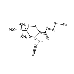 CC(C)(C)[C@H]1CCN(C(=O)/C=C/CF)[C@H](CC#N)C1